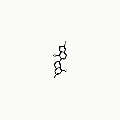 Fc1cc(Cl)c2cc(-c3ccc4cc(F)ccc4c3Cl)ccc2c1